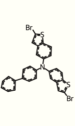 Brc1cc2cc(N(c3ccc(-c4ccccc4)cc3)c3ccc4sc(Br)cc4c3)ccc2s1